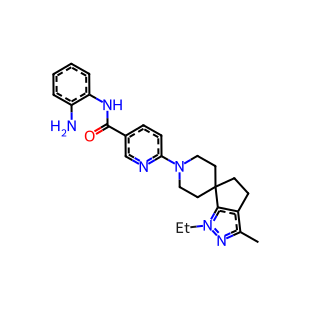 CCn1nc(C)c2c1C1(CC2)CCN(c2ccc(C(=O)Nc3ccccc3N)cn2)CC1